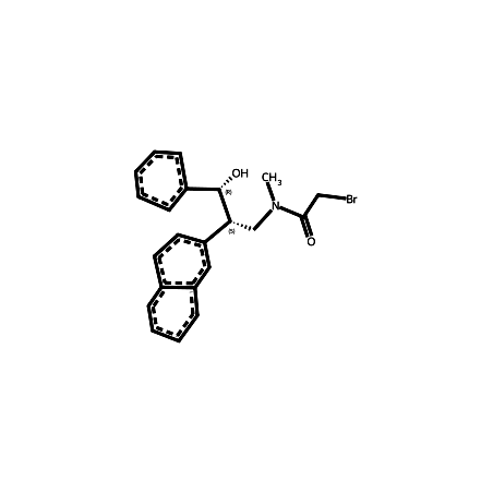 CN(C[C@H](c1ccc2ccccc2c1)[C@@H](O)c1ccccc1)C(=O)CBr